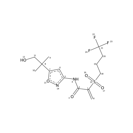 C=C(C(=O)Nc1cc(C(C)(C)CO)on1)S(=O)(=O)CCCC(F)(F)F